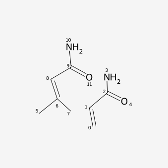 C=CC(N)=O.CC(C)=CC(N)=O